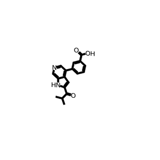 CC(C)C(=O)c1cc2c(-c3cccc(C(=O)O)c3)cncc2[nH]1